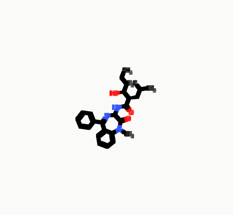 CCC[C@H](O)[C@@H](CC(C)C)C(=O)NC1N=C(c2ccccc2)c2ccccc2N(C)C1=O